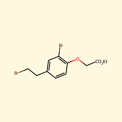 CCOC(=O)COc1ccc(CCBr)cc1Br